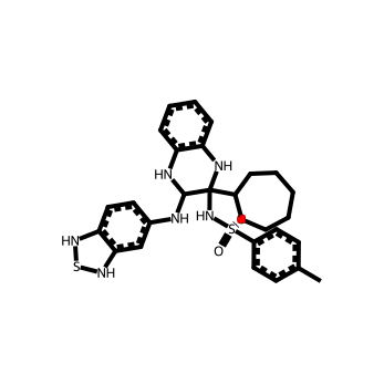 Cc1ccc(S(=O)(=O)NC2(C3CCCCCC3)Nc3ccccc3NC2Nc2ccc3c(c2)NSN3)cc1